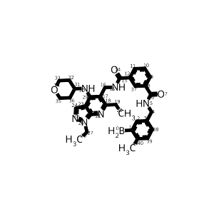 Bc1cc(CNC(=O)c2cccc(C(=O)NCc3c(CC)nc4c(cnn4CC)c3NC3CCOCC3)c2)ccc1C